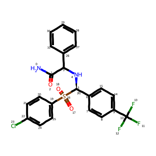 NC(=O)C(N[C@@H](c1ccc(C(F)(F)F)cc1)S(=O)(=O)c1ccc(Cl)cc1)c1ccccc1